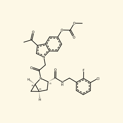 COC(=O)Oc1ccc2c(c1)c(C(C)=O)cn2CC(=O)N1[C@@H]2C[C@@H]2C[C@H]1C(=O)NCc1cccc(Cl)c1F